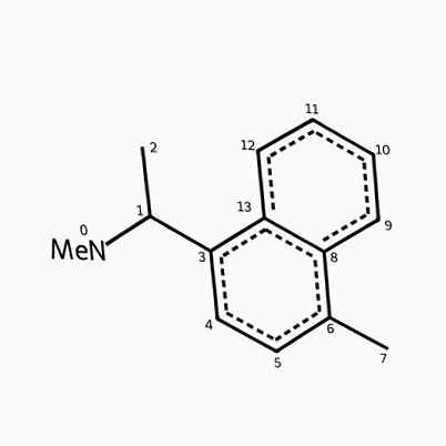 CNC(C)c1ccc(C)c2ccccc12